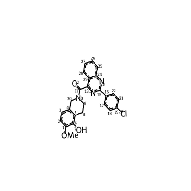 COc1ccc2c(c1O)CCN(C(=O)c1nc(-c3ccc(Cl)cc3)nc3ccccc13)C2